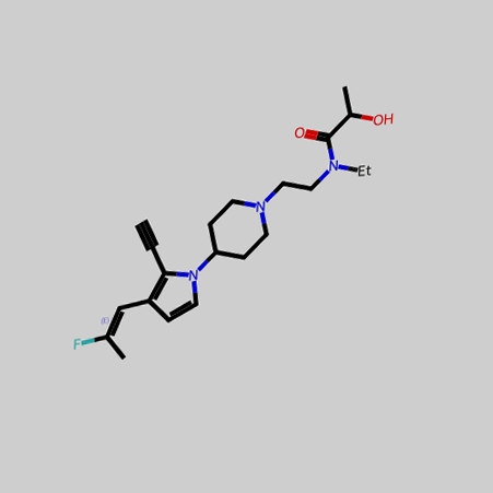 C#Cc1c(/C=C(\C)F)ccn1C1CCN(CCN(CC)C(=O)C(C)O)CC1